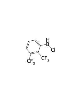 FC(F)(F)c1cccc(BCl)c1C(F)(F)F